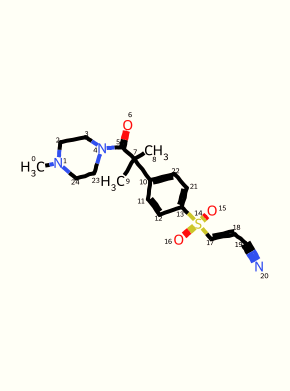 CN1CCN(C(=O)C(C)(C)c2ccc(S(=O)(=O)C=CC#N)cc2)CC1